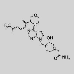 C=C(/C=C\C=C(/C)C(F)(F)F)[C@H]1COCCN1c1ncnc2c1ccn2C[C@@H]1CCN(CC(N)=O)C[C@H]1O